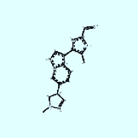 Cc1sc(C=O)nc1-c1cnn2cc(C3C=NN(C)C3)ccc12